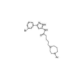 CC(=O)N1CCCN(CCCCC(=O)Nc2cc(-c3cccc(Br)c3)n[nH]2)CC1